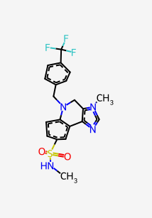 CNS(=O)(=O)c1ccc2c(c1)-c1ncn(C)c1CN2Cc1ccc(C(F)(F)F)cc1